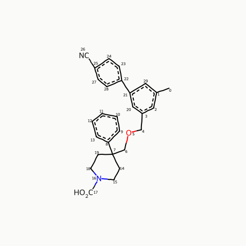 Cc1cc(COCC2(c3ccccc3)CCN(C(=O)O)CC2)cc(-c2ccc(C#N)cc2)c1